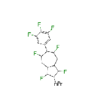 CCCC1C(F)C2CC(F)C(c3cc(F)c(F)c(F)c3)C(F)CC2C1F